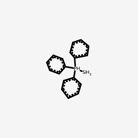 [SiH3][PH](c1ccccc1)(c1ccccc1)c1ccccc1